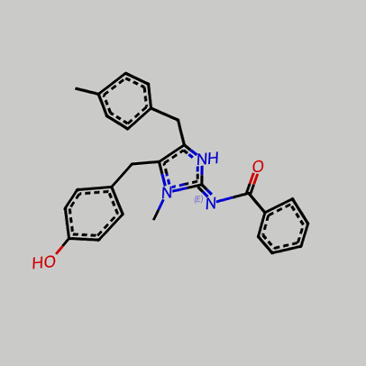 Cc1ccc(Cc2[nH]/c(=N\C(=O)c3ccccc3)n(C)c2Cc2ccc(O)cc2)cc1